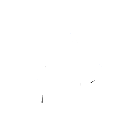 CCCC[C@]1(CC)CS(O)(O)c2cc(CN3CCC[C@H]3C(=O)O)c(OC)cc2[C@@H](c2ccccc2)N1.N